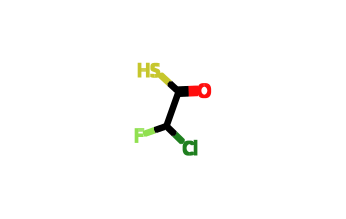 O=C(S)C(F)Cl